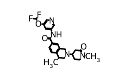 CC1CN(C2CCN(C)C(=O)C2)Cc2cc(C(=O)Nc3cncc(OC(F)F)c3)ccc21